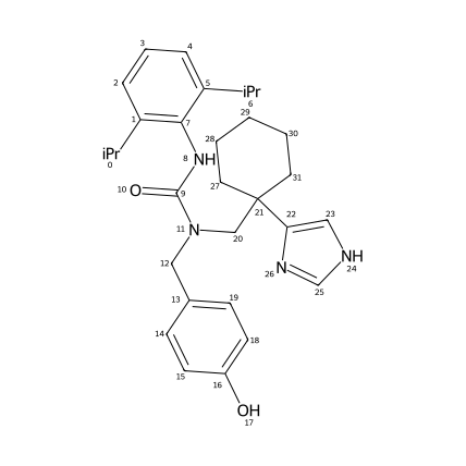 CC(C)c1cccc(C(C)C)c1NC(=O)N(Cc1ccc(O)cc1)CC1(c2c[nH]cn2)CCCCC1